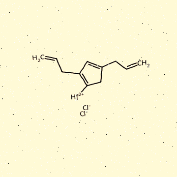 C=CCC1=CC(CC=C)=[C]([Hf+2])C1.[Cl-].[Cl-]